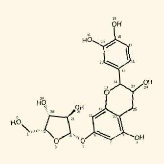 OC[C@H]1O[C@@H](Oc2cc(O)c3c(c2)OC(c2ccc(O)c(O)c2)C(O)C3)[C@H](O)[C@H]1O